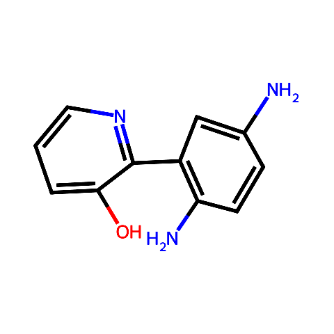 Nc1ccc(N)c(-c2ncccc2O)c1